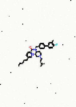 CCCCCc1ccc(C(=O)N(Cc2ccc(-c3ccc(F)c(C)c3)cc2)C2CCN(CCC(C)C)CC2)nc1